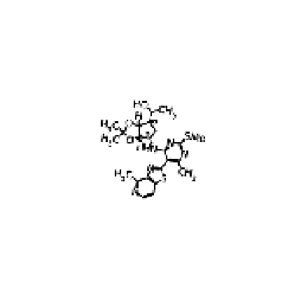 CSc1nc(C)c(-c2nc3c(C)nccc3s2)c(N[C@@H]2C[C@H](C(C)O)[C@H]3OC(C)(C)O[C@H]32)n1